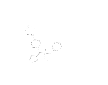 CCC(C)(Cc1ccccc1)C(=C1C=CC=C1)c1ccc(N2CCOCC2)cc1